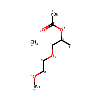 C.CCCCC(=O)OC(C)COCCOC(C)(C)C